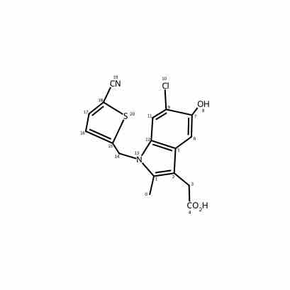 Cc1c(CC(=O)O)c2cc(O)c(Cl)cc2n1Cc1ccc(C#N)s1